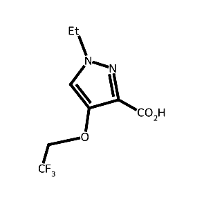 CCn1cc(OCC(F)(F)F)c(C(=O)O)n1